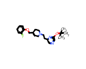 CC(C)(C)Oc1cncc(CCN2CCC(COc3ccccc3F)CC2)n1